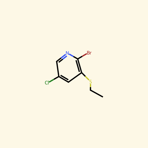 CCSc1cc(Cl)cnc1Br